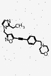 CCc1nccn1Cc1cc(C#Cc2ccc(CN3CCOCC3)cc2)on1